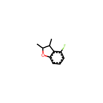 CC1Oc2cccc(F)c2C1C